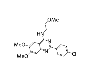 COCCNc1nc(-c2ccc(Cl)cc2)nc2cc(OC)c(OC)cc12